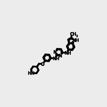 Cc1cc2cc(Nc3ccnc(Nc4cccc(OCC5CCNCC5)c4)n3)ccc2[nH]1